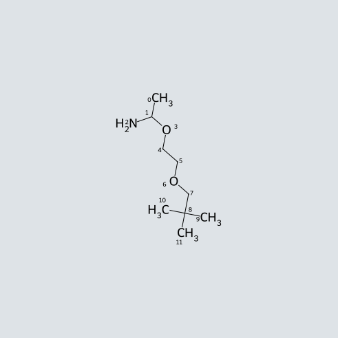 CC(N)OCCOCC(C)(C)C